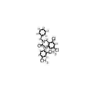 Cc1ccc(NC(=O)N(Cc2ccccc2)Cc2ccc(Cl)cc2Cl)c(C)c1